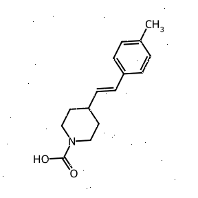 Cc1ccc(/C=C/C2CCN(C(=O)O)CC2)cc1